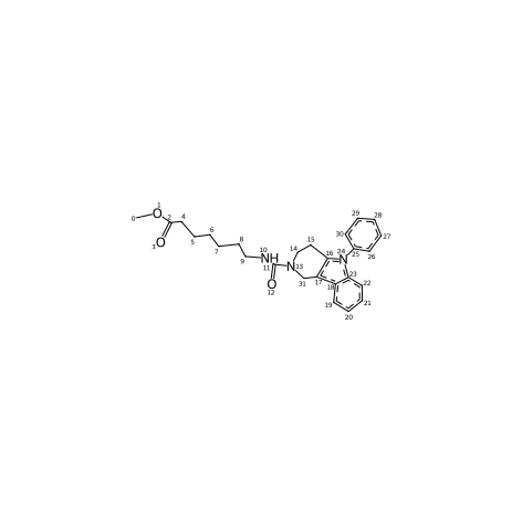 COC(=O)CCCCCCNC(=O)N1CCc2c(c3ccccc3n2-c2ccccc2)C1